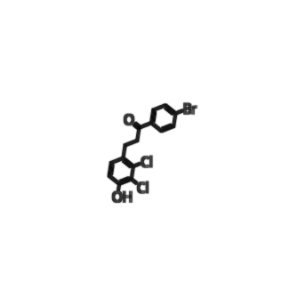 O=C(CCc1ccc(O)c(Cl)c1Cl)c1ccc(Br)cc1